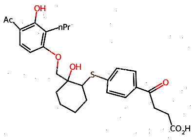 CCCc1c(OCC2(O)CCCCC2Sc2ccc(C(=O)CCC(=O)O)cc2)ccc(C(C)=O)c1O